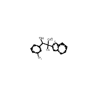 N#CC(C=O)(c1cc2ccccc2s1)C(O)c1cccc(C(F)(F)F)c1